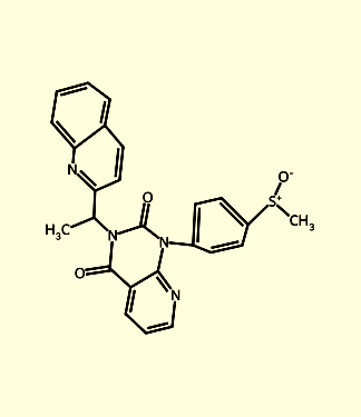 CC(c1ccc2ccccc2n1)n1c(=O)c2cccnc2n(-c2ccc([S+](C)[O-])cc2)c1=O